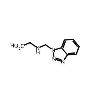 O=C(O)CNCn1nnc2ccccc21